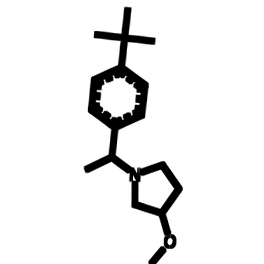 COC1CCN(C(C)c2ccc(C(C)(C)C)cc2)C1